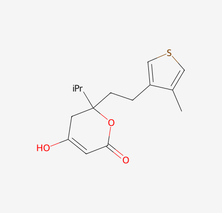 Cc1cscc1CCC1(C(C)C)CC(O)=CC(=O)O1